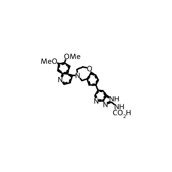 COc1cc2nccc(N3CCOc4ccc(-c5cnc6nc(NC(=O)O)[nH]c6c5)cc4C3)c2cc1OC